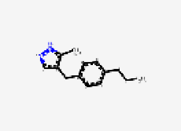 CCCc1ccc(Cc2cn[nH]c2C)cc1